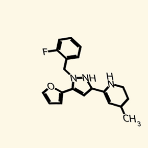 CC1C=C(C2C=C(c3ccco3)N(Cc3ccccc3F)N2)NCC1